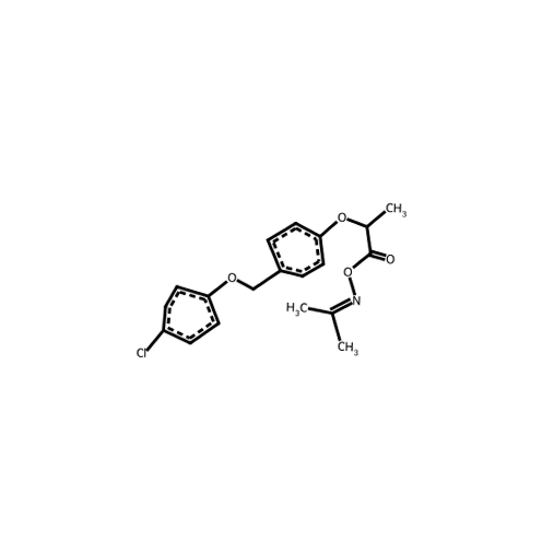 CC(C)=NOC(=O)C(C)Oc1ccc(COc2ccc(Cl)cc2)cc1